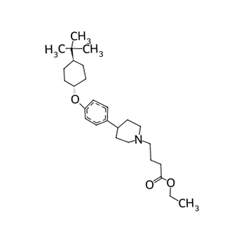 CCOC(=O)CCCN1CCC(c2ccc(O[C@H]3CC[C@H](C(C)(C)C)CC3)cc2)CC1